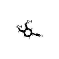 N#Cc1ccc(=CO)c(=CO)c1